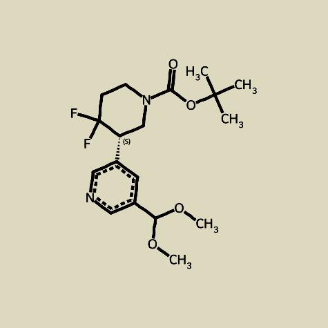 COC(OC)c1cncc([C@H]2CN(C(=O)OC(C)(C)C)CCC2(F)F)c1